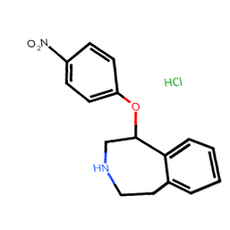 Cl.O=[N+]([O-])c1ccc(OC2CNCCc3ccccc32)cc1